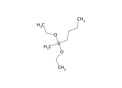 CCCC[Si](C)(OCC)OCC